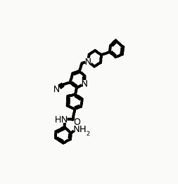 N#Cc1cc(CN2CCC(c3ccccc3)CC2)cnc1-c1ccc(C(=O)Nc2ccccc2N)cc1